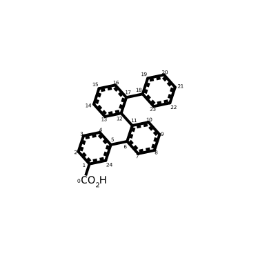 O=C(O)c1cccc(-c2ccccc2-c2ccccc2-c2ccccc2)c1